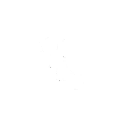 Brc1cccc2nc3[nH]c4ccccc4c3nc12